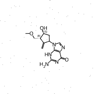 C=C1C(n2cnc3c(=O)nc(N)[nH]c32)C[C@H](O)[C@H]1COC